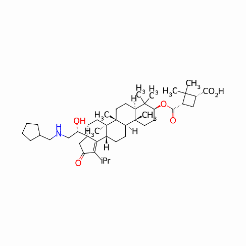 CC(C)C1=C2[C@H]3CC[C@@H]4[C@@]5(C)CC[C@H](OC(=O)[C@H]6C[C@@H](C(=O)O)C6(C)C)C(C)(C)[C@@H]5CC[C@@]4(C)[C@]3(C)CC[C@@]2([C@@H](O)CNCC2CCCC2)CC1=O